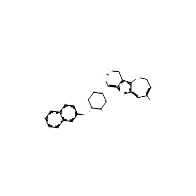 Cl.ClC1=CCNc2c3c([nH]c2=C1)=C([C@H]1CC[C@H](Oc2ccc4ccccc4c2)CC1)N=NC3